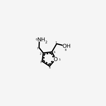 NCc1ccoc1CO